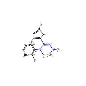 CCC1=CC=C(/C(=N/N(C)C)N(C)c2c(CC)cccc2CC)C1